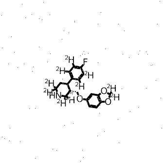 [2H]c1c([2H])c(C2CC([2H])([2H])NC([2H])([2H])[C@H]2COc2ccc3c(c2)OC([2H])([2H])O3)c([2H])c([2H])c1F